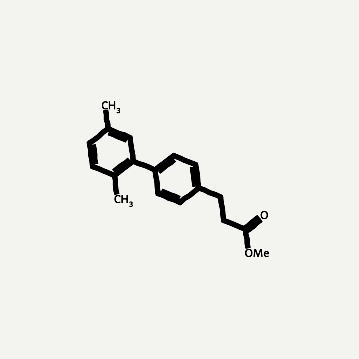 COC(=O)CCc1ccc(-c2cc(C)ccc2C)cc1